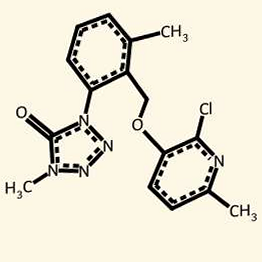 Cc1ccc(OCc2c(C)cccc2-n2nnn(C)c2=O)c(Cl)n1